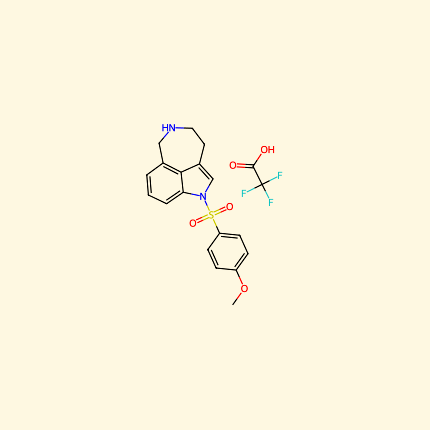 COc1ccc(S(=O)(=O)n2cc3c4c(cccc42)CNCC3)cc1.O=C(O)C(F)(F)F